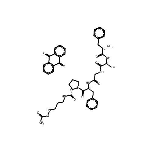 CCC(C)[C@H](NC(=O)[C@@H](N)Cc1ccccc1)C(=O)NCC(=O)N[C@@H](Cc1ccccc1)C(=O)N1CCC[C@H]1C(=O)NCCCNOC(=O)C(F)(F)F.O=C1c2ccccc2C(=O)c2ccccc21